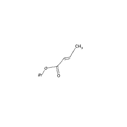 [CH2]C(C)OC(=O)C=CC